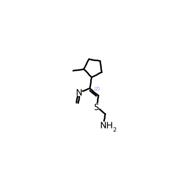 C=N/C(=C\SCN)C1CCCC1C